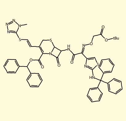 Cn1nnnc1SC=CC1=C(C(=O)OC(c2ccccc2)c2ccccc2)N2C(=O)C(NC(=O)C(=NOCC(=O)OC(C)(C)C)c3csc(NC(c4ccccc4)(c4ccccc4)c4ccccc4)n3)C2SC1